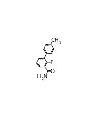 Cc1ccc(-c2cccc(C(N)=O)c2F)cc1